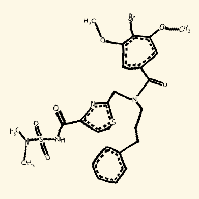 COc1cc(C(=O)N(CCCc2ccccc2)Cc2nc(C(=O)NS(=O)(=O)N(C)C)cs2)cc(OC)c1Br